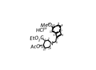 CCOC(=O)[C@H]1CN(CC2=Cc3ccc(OC)cc32)CC[C@H]1OC(C)=O.Cl